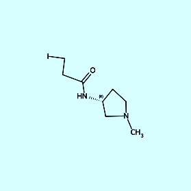 CN1CC[C@@H](NC(=O)CCI)C1